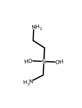 NCC[Si](O)(O)CN